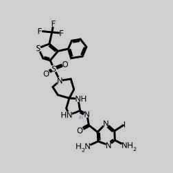 Nc1nc(N)c(C(=O)/N=C2\NCC3(CCN(S(=O)(=O)c4csc(C(F)(F)F)c4-c4ccccc4)CC3)N2)nc1I